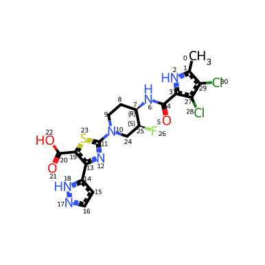 Cc1[nH]c(C(=O)N[C@@H]2CCN(c3nc(-c4ccn[nH]4)c(C(=O)O)s3)C[C@@H]2F)c(Cl)c1Cl